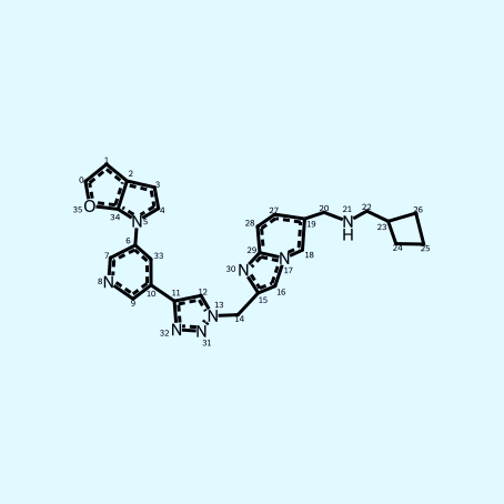 c1cc2ccn(-c3cncc(-c4cn(Cc5cn6cc(CNCC7CCC7)ccc6n5)nn4)c3)c2o1